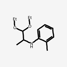 CCOC(OCC)C(C)Nc1ccccc1C